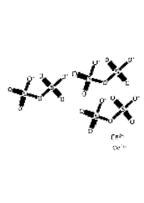 O=S(=O)([O-])OS(=O)(=O)[O-].O=S(=O)([O-])OS(=O)(=O)[O-].O=S(=O)([O-])OS(=O)(=O)[O-].[Ce+3].[Ce+3]